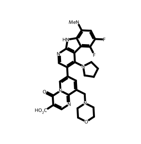 CNc1cc(F)c(F)c2c1[nH]c1ncc(-c3cc(CN4CCOCC4)c4ncc(C(=O)O)c(=O)n4c3)c(N3CCCC3)c12